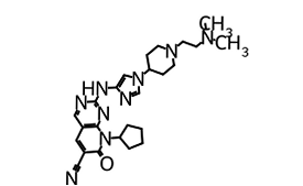 CN(C)CCN1CCC(n2cnc(Nc3ncc4cc(C#N)c(=O)n(C5CCCC5)c4n3)c2)CC1